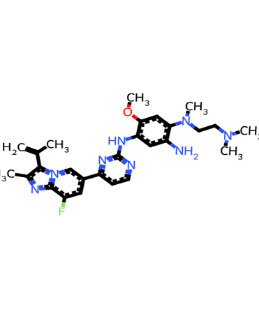 C=C(C)c1c(C)nc2c(F)cc(-c3ccnc(Nc4cc(N)c(N(C)CCN(C)C)cc4OC)n3)cn12